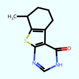 CC1CCCc2c1sc1nc[nH]c(=O)c21